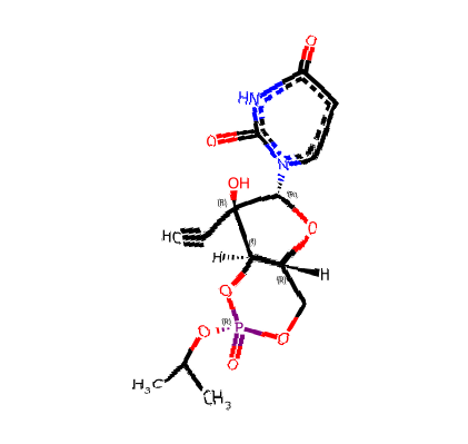 C#C[C@@]1(O)[C@@H]2O[P@@](=O)(OC(C)C)OC[C@H]2O[C@H]1n1ccc(=O)[nH]c1=O